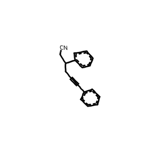 N#CCC(CC#Cc1ccccc1)c1ccccc1